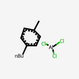 [CH2]CCCc1ccc(C)cc1.[Cl][Al]([Cl])[Cl]